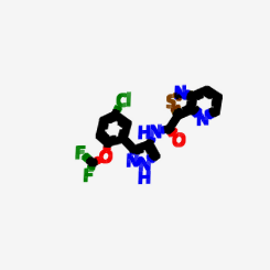 O=C(Nc1c[nH]nc1-c1cc(Cl)ccc1OC(F)F)c1snc2cccnc12